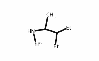 CCCNC(C)C(CC)CC